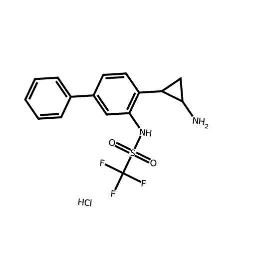 Cl.NC1CC1c1ccc(-c2ccccc2)cc1NS(=O)(=O)C(F)(F)F